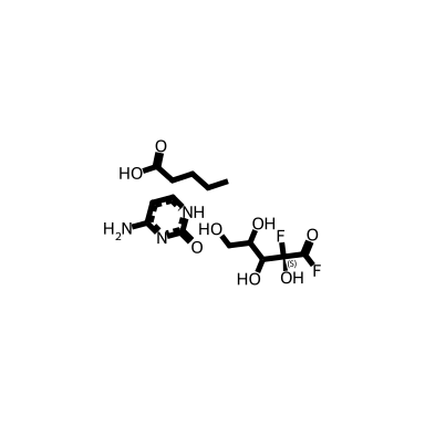 CCCCC(=O)O.Nc1cc[nH]c(=O)n1.O=C(F)[C@@](O)(F)C(O)C(O)CO